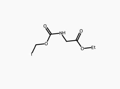 CCOC(=O)CNC(=O)OCI